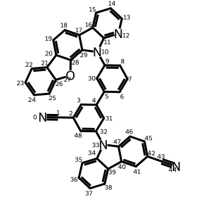 N#Cc1cc(-c2cccc(-n3c4ncccc4c4ccc5c6ccccc6oc5c43)c2)cc(-n2c3ccccc3c3cc(C#N)ccc32)c1